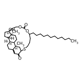 CCCCCCCCCCCCC1CCCSC2C[C@@]3(C)C(=CC2=O)CC[C@@H]2C3CC[C@@]3(C)[C@H]2CC[C@@]3(O)CCOC(=O)O1